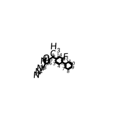 CC(c1ccc(-c2ccccc2)c(F)c1)c1cc(CN=[N+]=[N-])no1